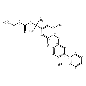 CC(C)(NC(=O)NCC(=O)O)c1cc(Cl)c(Oc2ccc(O)c(-c3ccccc3)c2)c(Cl)c1